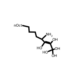 CCCCCCCCCCCCC(N)C(O)=C(O)C(O)(O)O